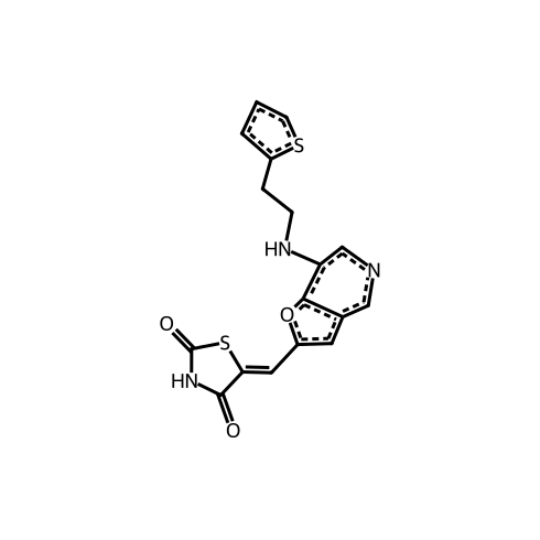 O=C1NC(=O)C(=Cc2cc3cncc(NCCc4cccs4)c3o2)S1